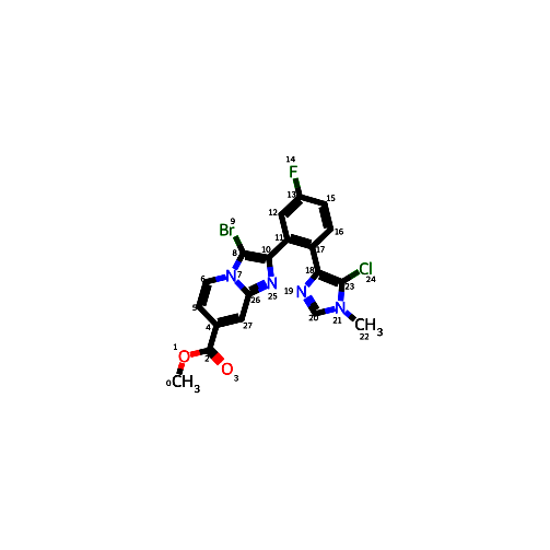 COC(=O)c1ccn2c(Br)c(-c3cc(F)ccc3-c3ncn(C)c3Cl)nc2c1